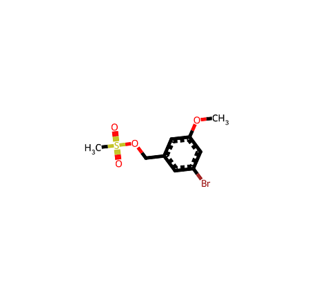 COc1cc(Br)cc(COS(C)(=O)=O)c1